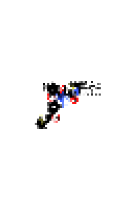 CC(=O)OCC1=C(C(=O)[O-])N2C(=O)[C@@H](NC(=O)C(NC(=O)c3ccc(C(=O)C=Cc4cccs4)cc3)c3ccccc3)[C@H]2SC1.[Na+]